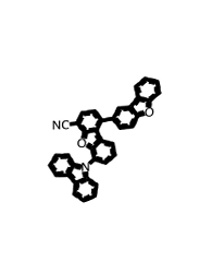 N#Cc1ccc(-c2ccc3oc4ccccc4c3c2)c2c1oc1c(-n3c4ccccc4c4ccccc43)cccc12